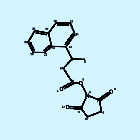 CC(CC(=O)ON1C(=O)CCC1=O)c1cccc2ccccc12